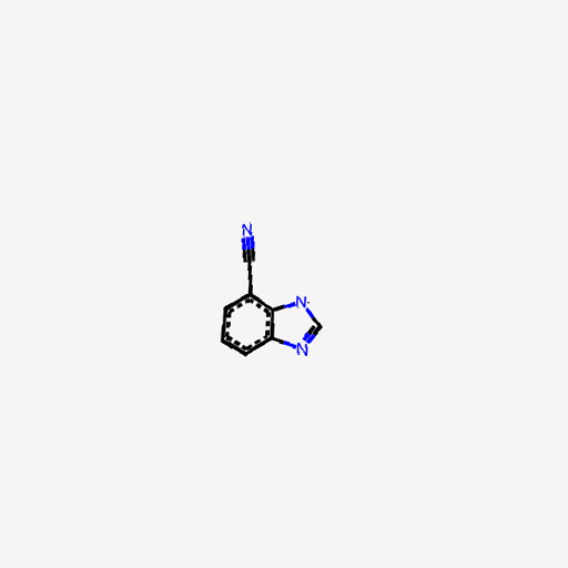 N#Cc1cccc2c1[N]C=N2